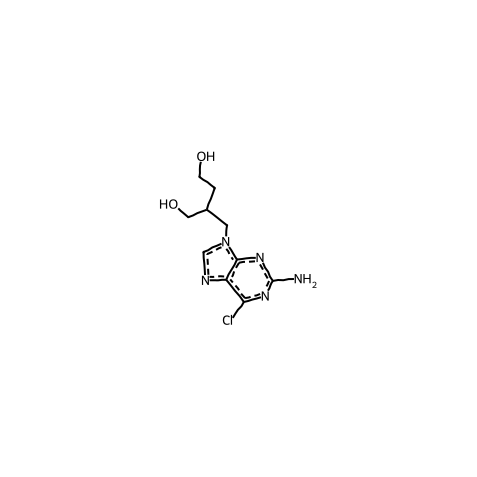 Nc1nc(Cl)c2ncn(CC(CO)CCO)c2n1